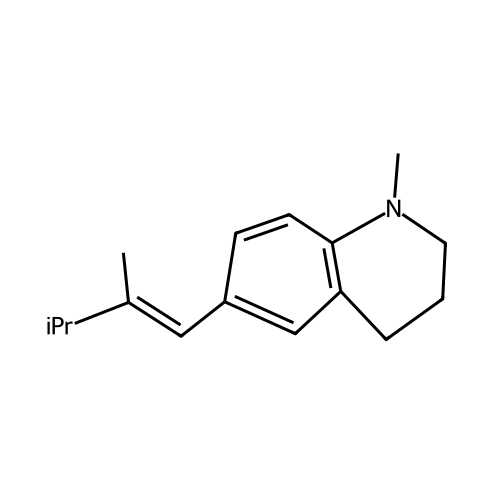 C/C(=C\c1ccc2c(c1)CCCN2C)C(C)C